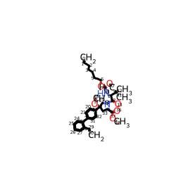 C=CCCCCCOC(=O)N[C@H](C(=O)N1CC(OC)(c2ccc(-c3ccccc3C=C)cc2)CC1C(=O)OC)C(C)(C)C